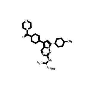 CCCCC[C@H](C)Nc1ncc2c(C3=CCC(C(=O)N4CCOCC4)CC3)cc([C@H]3CC[C@H](O)CC3)n2n1